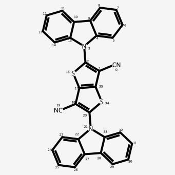 N#Cc1c(-n2c3ccccc3c3ccccc32)sc2c(C#N)c(-n3c4ccccc4c4ccccc43)sc12